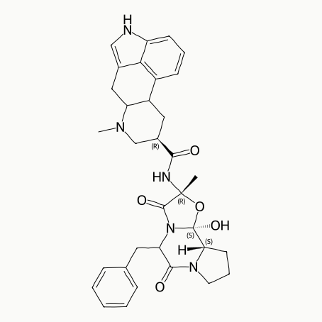 CN1C[C@H](C(=O)N[C@]2(C)O[C@@]3(O)[C@@H]4CCCN4C(=O)C(Cc4ccccc4)N3C2=O)CC2c3cccc4[nH]cc(c34)CC21